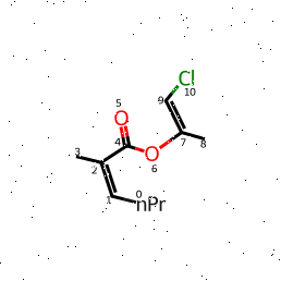 CCCC=C(C)C(=O)OC(C)=CCl